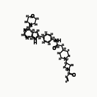 C=CC(=O)N1CC(N2CCC(CC(=O)Nc3ccc(-c4cc5c(N6CCOCC6)ncnc5[nH]4)cc3)CC2)C1